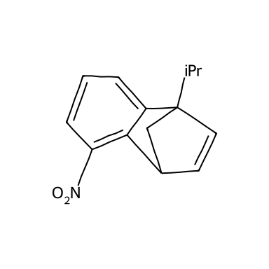 CC(C)C12C=CC(C1)c1c([N+](=O)[O-])cccc12